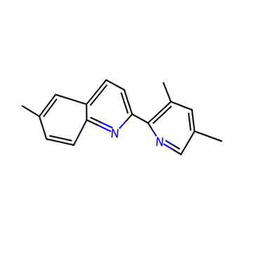 Cc1cnc(-c2ccc3cc(C)ccc3n2)c(C)c1